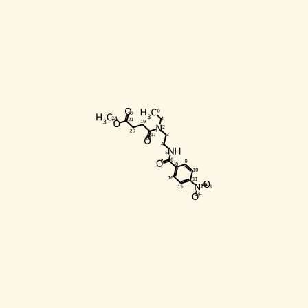 CCN(CCNC(=O)c1ccc([N+](=O)[O-])cc1)C(=O)CCC(=O)OC